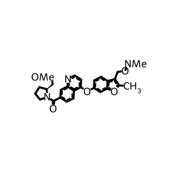 CNOCc1c(C)oc2cc(Oc3ccnc4cc(C(=O)N5CCC[C@H]5COC)ccc34)ccc12